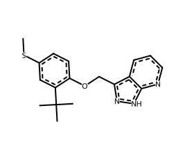 CSc1ccc(OCc2n[nH]c3ncccc23)c(C(C)(C)C)c1